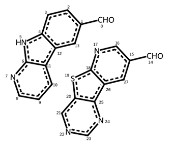 O=Cc1ccc2[nH]c3ncccc3c2c1.O=Cc1cnc2sc3cncnc3c2c1